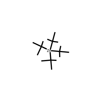 C[C](C)(C)[Zn]([C](C)(C)C)([C](C)(C)C)[C](C)(C)C